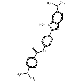 CN(C)c1ccc(C(=O)Nc2ccc(-c3nc4ccc(N(C)C)cc4n3O)cc2)cc1